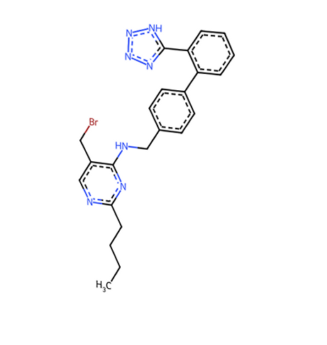 CCCCc1ncc(CBr)c(NCc2ccc(-c3ccccc3-c3nnn[nH]3)cc2)n1